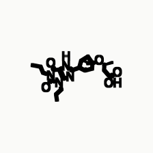 CCCn1c(=O)c2[nH]c(C34CCC(O[C@@H](C)CC(=O)O)(CC3)CC4)nc2n(CCC)c1=O